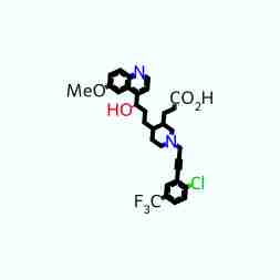 COc1ccc2nccc([C@@H](O)CCC3CCN(CC#Cc4cc(C(F)(F)F)ccc4Cl)CC3CCC(=O)O)c2c1